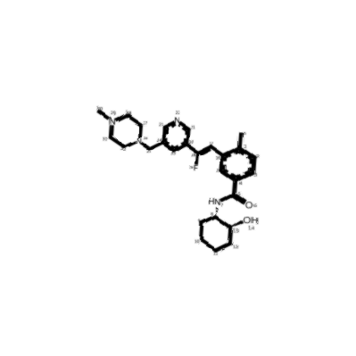 Cc1ccc(C(=O)N[C@H]2CCCC[C@@H]2O)cc1/C=C(\F)c1cncc(CN2CCN(C)CC2)c1